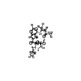 COC(=O)[C@@H](C)C[C@H](Cc1nccs1)NC(=O)c1csc([C@@H](CC(C(C)C)N(C)C(=O)C2CC2)OC(C)=O)n1